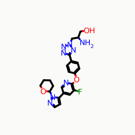 NC(CO)Cn1nnc(-c2ccc(Oc3ncc(-c4ccnn4C4CCCCO4)cc3F)cc2)n1